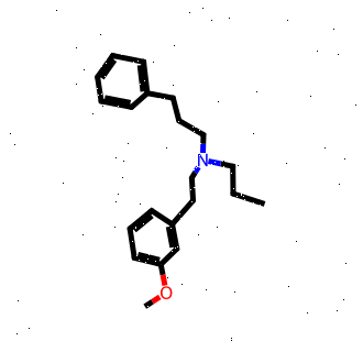 CCCN(CCCc1ccccc1)CCc1cccc(OC)c1